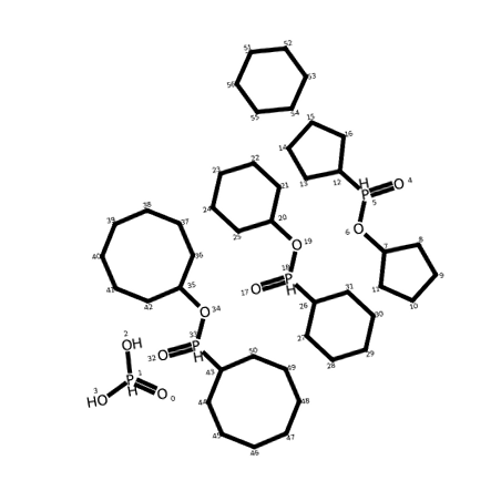 O=[PH](O)O.O=[PH](OC1CCCC1)C1CCCC1.O=[PH](OC1CCCCC1)C1CCCCC1.O=[PH](OC1CCCCCCC1)C1CCCCCCC1.[CH]1CCCCC1